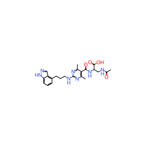 CC(=O)NCC(NC(=O)c1c(C)nc(NCCCc2cccc3[nH]ncc23)nc1C)C(=O)O